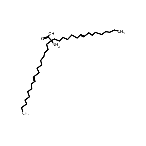 CCCCCCCCC=CCCCCCCCCC(N)(CCCCCCC=CCCCCCCCC)C(=O)O